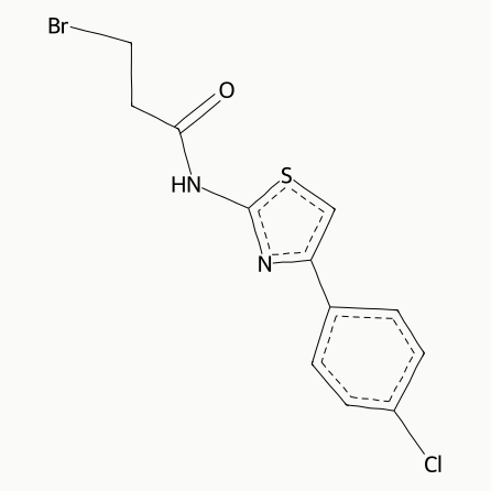 O=C(CCBr)Nc1nc(-c2ccc(Cl)cc2)cs1